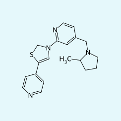 CC1CCCN1Cc1ccnc(N2C=C(c3ccncc3)SC2)c1